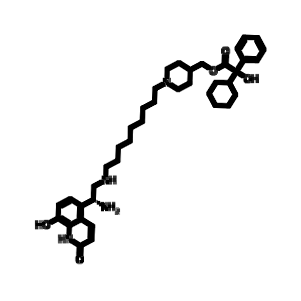 N[C@@H](CNCCCCCCCCCN1CCC(COC(=O)C(O)(c2ccccc2)C2CCCCC2)CC1)c1ccc(O)c2[nH]c(=O)ccc12